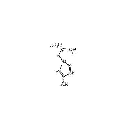 N#Cc1ncn(C[C@@H](O)C(=O)O)n1